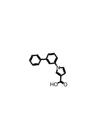 O=C(O)c1ccn(-c2cccc(-c3ccccc3)c2)c1